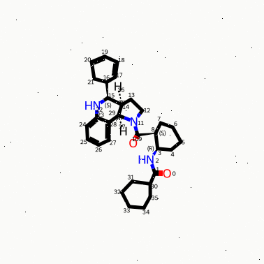 O=C(N[C@@H]1CCCC[C@@H]1C(=O)N1CC[C@@H]2[C@H](C3C=CC=CC3)Nc3ccccc3[C@@H]21)C1CCCCC1